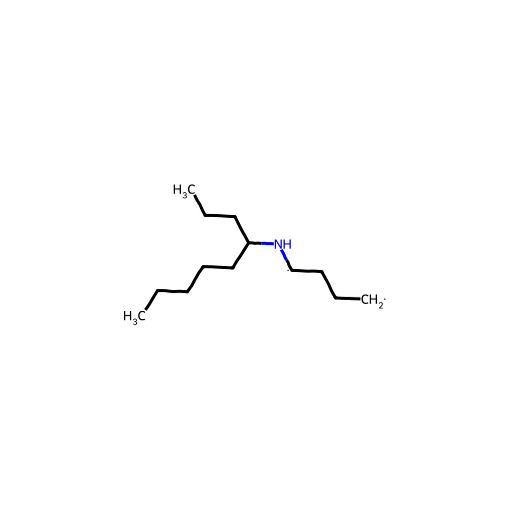 [CH2]CC[CH]NC(CCC)CCCCC